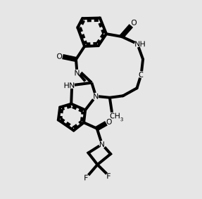 CC1CCCCNC(=O)c2cccc(c2)C(=O)/N=C2\Nc3cccc(C(=O)N4CC(F)(F)C4)c3N21